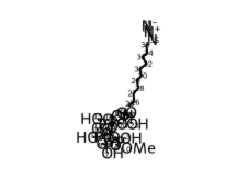 COP(=O)(O)OP(=O)(O)OP(=O)(O)OP(=O)(O)OP(=O)(O)OP(=O)(O)OCCCCCCCCCCCN=[N+]=[N-]